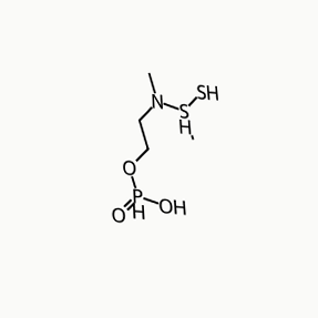 CN(CCO[PH](=O)O)[SH](C)S